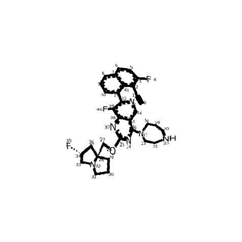 C#Cc1c(F)ccc2cccc(-c3ncc4c(N5CCCNCC5)nc(OC[C@@]56CCCN5C[C@H](F)C6)nc4c3F)c12